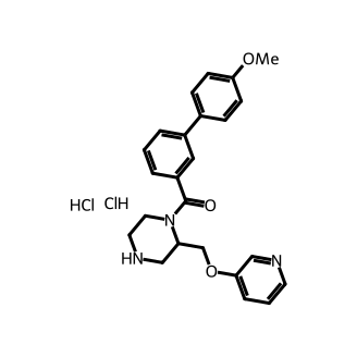 COc1ccc(-c2cccc(C(=O)N3CCNCC3COc3cccnc3)c2)cc1.Cl.Cl